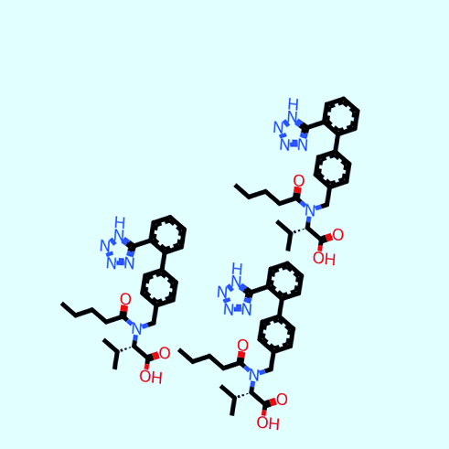 CCCCC(=O)N(Cc1ccc(-c2ccccc2-c2nnn[nH]2)cc1)[C@H](C(=O)O)C(C)C.CCCCC(=O)N(Cc1ccc(-c2ccccc2-c2nnn[nH]2)cc1)[C@H](C(=O)O)C(C)C.CCCCC(=O)N(Cc1ccc(-c2ccccc2-c2nnn[nH]2)cc1)[C@H](C(=O)O)C(C)C